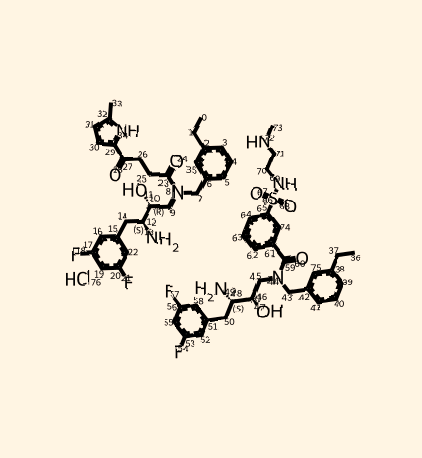 CCc1cccc(CN(C[C@@H](O)[C@@H](N)Cc2cc(F)cc(F)c2)C(=O)CCC(=O)c2ccc(C)[nH]2)c1.CCc1cccc(CN(C[C@@H](O)[C@@H](N)Cc2cc(F)cc(F)c2)C(=O)c2cccc(S(=O)(=O)NCCNC)c2)c1.Cl